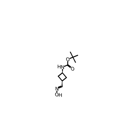 CC(C)(C)OC(=O)N[C@H]1C[C@@H](/C=N/O)C1